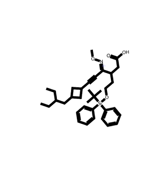 CCC(CC)CC1CC(C#C/C(=N\OC)C(CCO[Si](c2ccccc2)(c2ccccc2)C(C)(C)C)CC(=O)O)C1